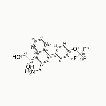 NCc1cc(-c2ccc(OC(F)(F)F)cc2)c2nccnc2c1[C@H](O)CO